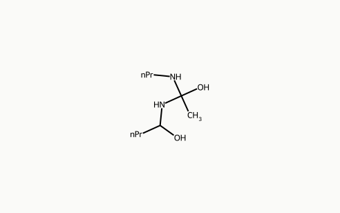 CCCNC(C)(O)NC(O)CCC